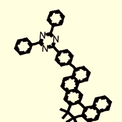 CC1(C)c2cc3ccc4c(-c5ccc(-c6nc(-c7ccccc7)nc(-c7ccccc7)n6)cc5)cccc4c3cc2-c2c(ccc3ccccc23)C1(C)C